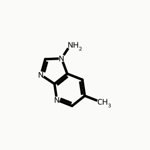 Cc1cnc2ncn(N)c2c1